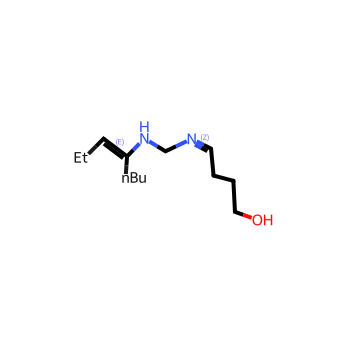 CC/C=C(\CCCC)NC/N=C\CCCO